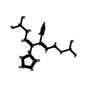 CC(C)CON=C(C#N)C(=NOC(C)C)n1cncn1